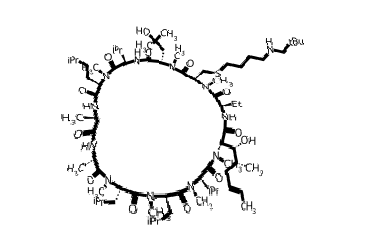 C/C=C/C[C@@H](C)[C@@H](O)[C@H]1C(=O)N[C@H](CC)C(=O)N(C)[C@H](CSCCCCNCC(C)(C)C)C(=O)N(C)[C@@H](CC(C)(C)O)C(=O)N[C@H](C(C)C)C(=O)N(C)[C@H](CCC(C)C)C(=O)N[C@H](C)C(=O)N[C@@H](C)C(=O)N(C)[C@@H](CC(C)C)C(=O)N(C)[C@H](CC(C)C)C(=O)N(C)[C@H](C(C)C)C(=O)N1C